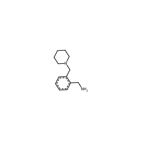 NCc1ccccc1CN1CCCCC1